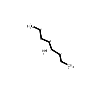 CCCCCCCC.[Nd]